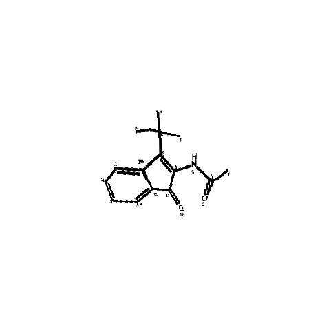 CC(=O)NC1=C(C(C)(C)C)c2ccccc2C1=O